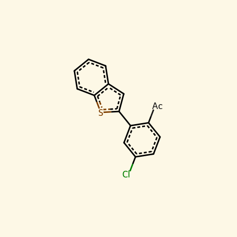 CC(=O)c1ccc(Cl)cc1-c1cc2ccccc2s1